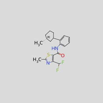 Cc1nc(C(F)F)c(C(=O)Nc2ccccc2C2CCC[C@@H](C)C2)s1